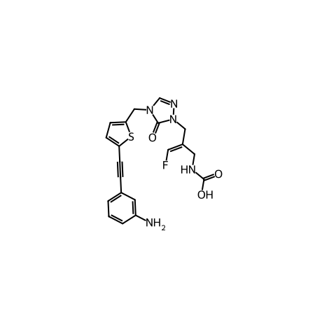 Nc1cccc(C#Cc2ccc(Cn3cnn(CC(=CF)CNC(=O)O)c3=O)s2)c1